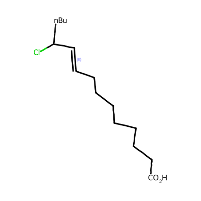 CCCCC(Cl)/C=C/CCCCCCCC(=O)O